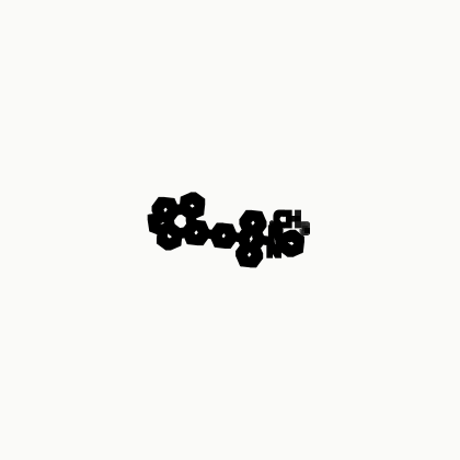 CCn1c(-c2c3ccccc3c(-c3ccc(-c4ccc5c(c4)c4ccccc4c4cccc6ccc7cccc5c7c64)cc3)c3ccccc23)nc2ccccc21